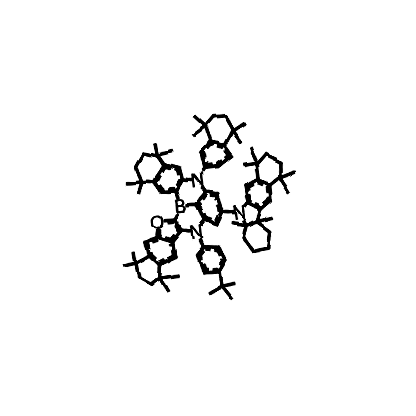 CC(C)(C)c1ccc(N2c3cc(N4c5cc6c(cc5C5(C)CCCCC45C)C(C)(C)CCC6(C)C)cc4c3B(c3cc5c(cc3N4c3ccc4c(c3)C(C)(C)CCC4(C)C)C(C)(C)CCC5(C)C)c3oc4cc5c(cc4c32)C(C)(C)CCC5(C)C)cc1